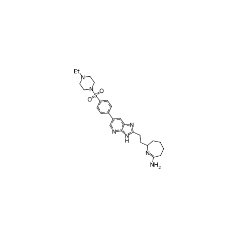 CCN1CCN(S(=O)(=O)c2ccc(-c3cnc4[nH]c(CCC5CCCCC(N)=N5)nc4c3)cc2)CC1